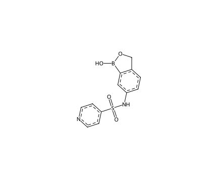 O=S(=O)(Nc1ccc2c(c1)B(O)OC2)c1ccncc1